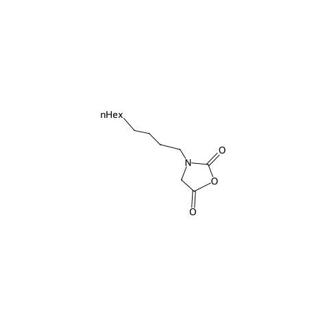 CCCCCCCCCCN1CC(=O)OC1=O